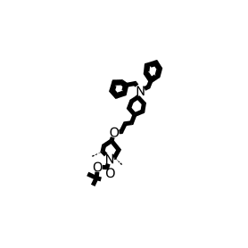 C[C@@H]1CC(OCCCC2CCC(N(Cc3ccccc3)Cc3ccccc3)CC2)C[C@H](C)N1C(=O)OC(C)(C)C